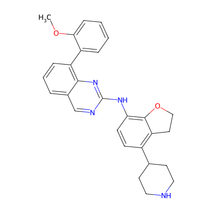 COc1ccccc1-c1cccc2cnc(Nc3ccc(C4CCNCC4)c4c3OCC4)nc12